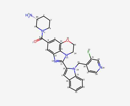 N[C@@H]1CCCN(C(=O)c2cc3c4c(c2)nc(-c2cc5ccccc5n2Cc2ccncc2F)n4CCO3)C1